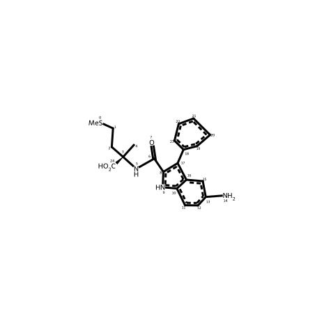 CSCC[C@](C)(NC(=O)c1[nH]c2ccc(N)cc2c1-c1ccccc1)C(=O)O